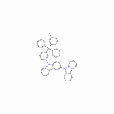 Cc1cccc([Si](c2ccccc2)(c2ccccc2)c2cccc(-n3c4ccccc4c4cc(-n5c6ccccc6c6ccccc65)ccc43)c2)c1